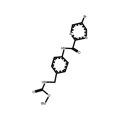 CC(C)(C)OC(=O)NCc1ccc(NC(=O)c2ncc(Br)cn2)cc1